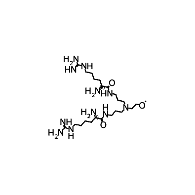 COCCN(CCCNC(=O)[C@H](N)CCCCNC(=N)N)CCCNC(=O)[C@H](N)CCCCNC(=N)N